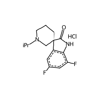 CC(C)N1CCC[C@]2(C1)C(=O)Nc1c(F)cc(F)cc12.Cl